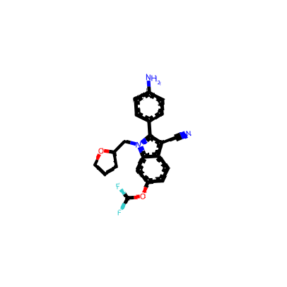 N#Cc1c(-c2ccc(N)cc2)n(CC2CCCO2)c2cc(OC(F)F)ccc12